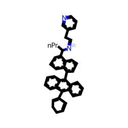 CCCC(/N=C\Cc1cccnc1)c1cccc2c(-c3c4ccccc4c(C4=CCCC=C4)c4ccccc34)cccc12